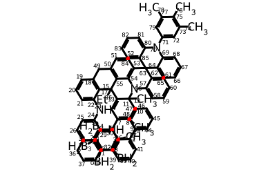 Bc1c(B)c(B)c(C2=C(C)CC3(C)C(=C2)C2(CC)c4c(cccc4Nc4ccccc4Nc4c(C5=CCCC=C5)cccc4-c4ccccc4)Cc4ccc5c(c42)N3c2ccccc2C52c3ccccc3N(c3cc(C)c(C)c(C)c3)c3ccccc32)c(C)c1B